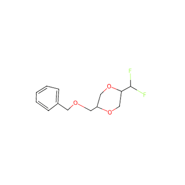 FC(F)C1COC(COCc2ccccc2)CO1